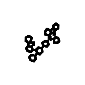 c1ccc(-c2ccc(-c3ccc(N(c4ccccc4)c4cccc5c4sc4ccccc45)cc3)cc2-c2cccc3c2sc2ccccc23)cc1